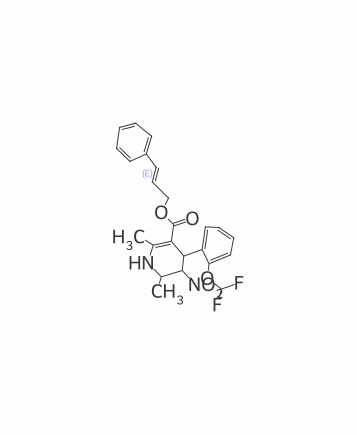 CC1=C(C(=O)OC/C=C/c2ccccc2)C(c2ccccc2OC(F)F)C([N+](=O)[O-])C(C)N1